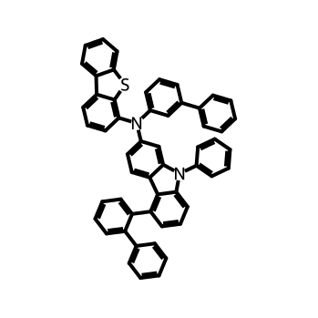 c1ccc(-c2cccc(N(c3ccc4c5c(-c6ccccc6-c6ccccc6)cccc5n(-c5ccccc5)c4c3)c3cccc4c3sc3ccccc34)c2)cc1